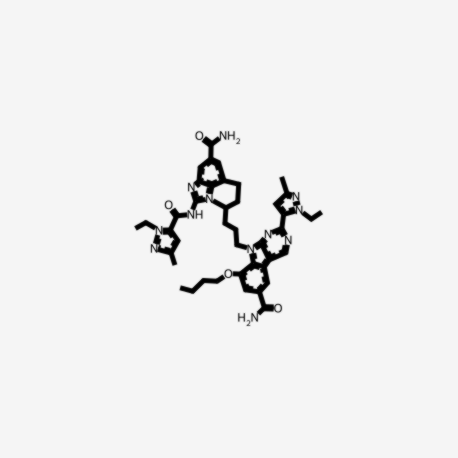 CCCCOc1cc(C(N)=O)cc2c3cnc(-c4cc(C)nn4CC)nc3n(CCCC3CCc4cc(C(N)=O)cc5nc(NC(=O)c6cc(C)nn6CC)n3c45)c12